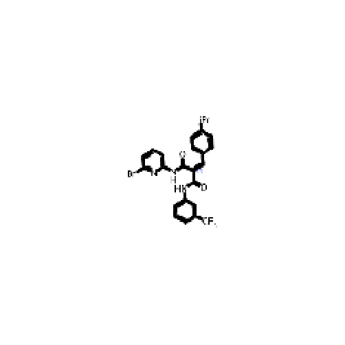 CC(C)c1ccc(/C=C(/C(=O)Nc2cccc(C(F)(F)F)c2)C(=O)Nc2cccc(Br)n2)cc1